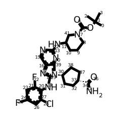 CC(C)(C)OC(=O)N1CCCC(Nc2ncc3nc(Nc4c(F)cc(F)cc4Cl)n([C@H]4CC[C@@H](C(N)=O)CC4)c3n2)C1